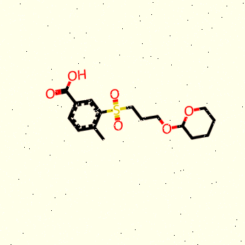 Cc1ccc(C(=O)O)cc1S(=O)(=O)CCCOC1CCCCO1